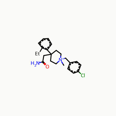 CCc1ccccc1C1(CC(N)=O)CC[N+](C)(Cc2ccc(Cl)cc2)CC1